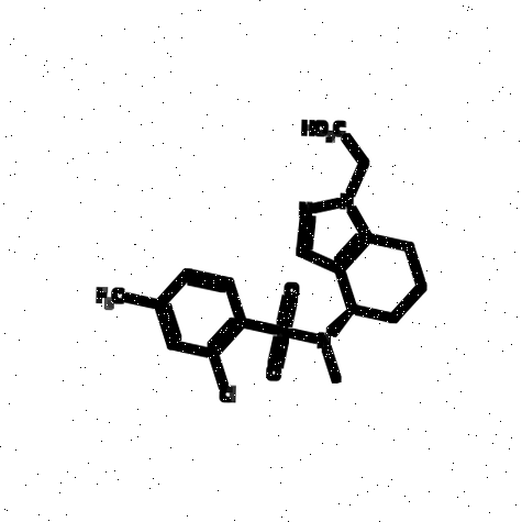 CN([C@@H]1CCCc2c1cnn2CC(=O)O)S(=O)(=O)c1ccc(C(F)(F)F)cc1Cl